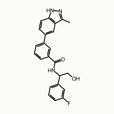 Cc1n[nH]c2ccc(-c3cccc(C(=O)NC(CO)c4cccc(F)c4)c3)cc12